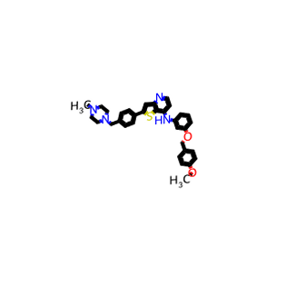 COc1ccc(COc2cccc(Nc3ccnc4cc(-c5ccc(CN6CCN(C)CC6)cc5)sc34)c2)cc1